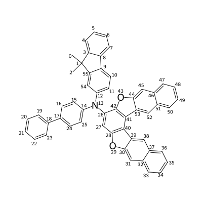 CC1(C)c2ccccc2-c2ccc(N(c3ccc(-c4ccccc4)cc3)c3cc4oc5cc6ccccc6cc5c4c4c3oc3cc5ccccc5cc34)cc21